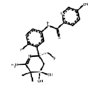 CC1(C)C(N)=N[C@@](CF)(c2cc(NC(=O)c3ccc(C#N)cn3)ccc2F)CS1(O)O